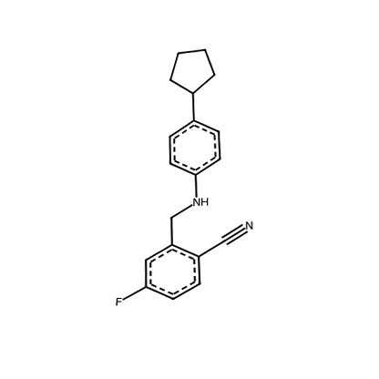 N#Cc1ccc(F)cc1CNc1ccc(C2CCCC2)cc1